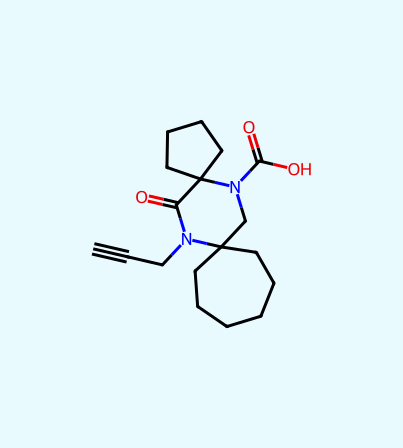 C#CCN1C(=O)C2(CCCC2)N(C(=O)O)CC12CCCCCC2